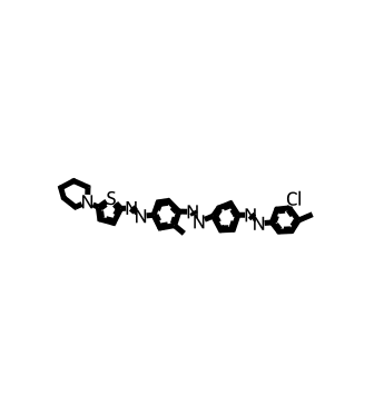 Cc1ccc(N=Nc2ccc(N=Nc3ccc(N=Nc4ccc(N5CCCCC5)s4)cc3C)cc2)cc1Cl